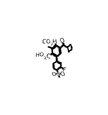 Cc1c(C(=O)O)c(C(=O)C2CCC2)cc(-c2ccc(S(C)(=O)=O)c(F)c2)c1C(=O)O